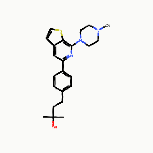 CCN1CCN(c2nc(-c3ccc(CCC(C)(C)O)cc3)cc3ccsc23)CC1